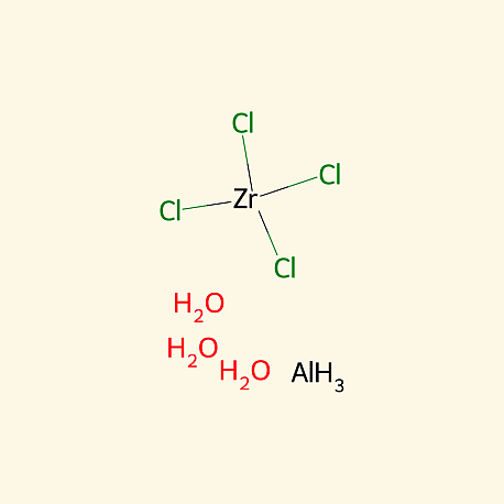 O.O.O.[AlH3].[Cl][Zr]([Cl])([Cl])[Cl]